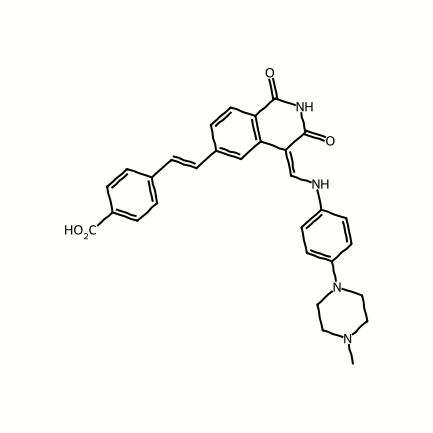 CN1CCN(c2ccc(NC=C3C(=O)NC(=O)c4ccc(C=Cc5ccc(C(=O)O)cc5)cc43)cc2)CC1